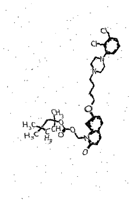 CC(C)(C)CC(C)(C)OC(=O)OCn1c(=O)ccc2ccc(OCCCCN3CCN(c4cccc(Cl)c4Cl)CC3)cc21